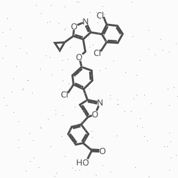 O=C(O)c1cccc(-c2cc(-c3ccc(OCc4c(-c5c(Cl)cccc5Cl)noc4C4CC4)cc3Cl)no2)c1